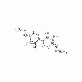 CCOC1CCC(C2CCC(OCC)C(F)C2F)C(F)C1F